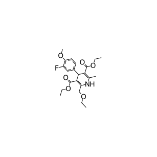 CCOCC1=C(C(=O)OCC)C(c2ccc(OC)c(F)c2)C(C(=O)OCC)=C(C)N1